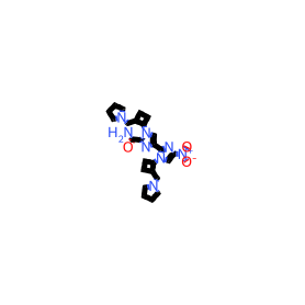 NC(=O)c1nc(-c2nc([N+](=O)[O-])cn2C2CCC2CN2CCCC2)cn1C1CCC1CN1CCCC1